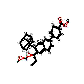 CCC(OCOC)c1cc2ccc(-c3ccc(C(=O)OC)cc3)cc2cc1C12CC3CC(CC(C3)C1)C2